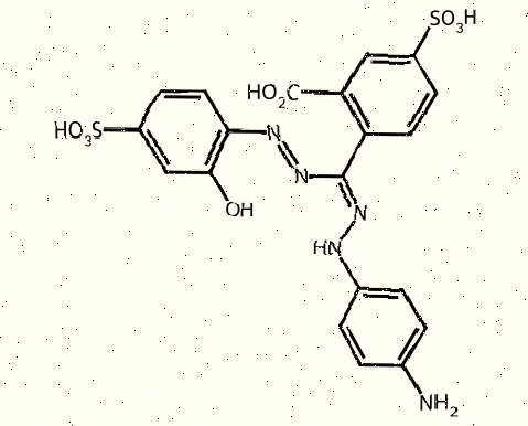 Nc1ccc(NN=C(N=Nc2ccc(S(=O)(=O)O)cc2O)c2ccc(S(=O)(=O)O)cc2C(=O)O)cc1